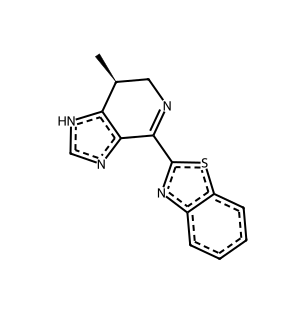 C[C@H]1CN=C(c2nc3ccccc3s2)c2nc[nH]c21